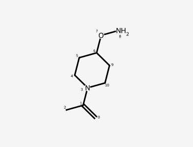 C=C(C)N1CCC(ON)CC1